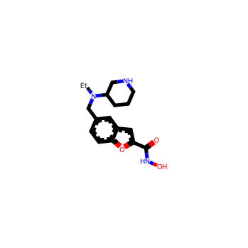 CCN(Cc1ccc2oc(C(=O)NO)cc2c1)C1CCCNC1